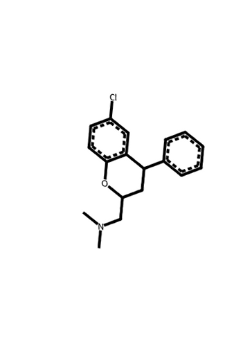 CN(C)CC1CC(c2ccccc2)c2cc(Cl)ccc2O1